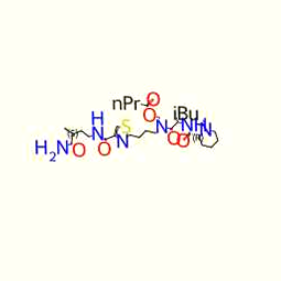 CCCC(=O)OCN(CCCc1nc(C(=O)NCC[C@H](C)C(N)=O)cs1)C(=O)C(NC(=O)[C@H]1CCCCN1C)C(C)CC